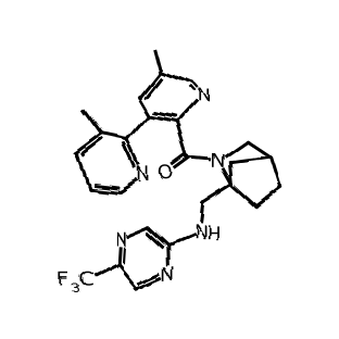 Cc1cnc(C(=O)N2CC3CCC2(CNc2cnc(C(F)(F)F)cn2)C3)c(-c2ncccc2C)c1